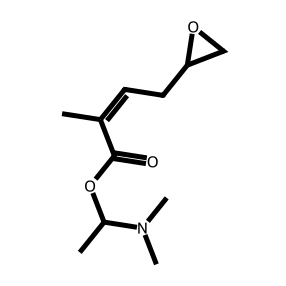 CC(=CCC1CO1)C(=O)OC(C)N(C)C